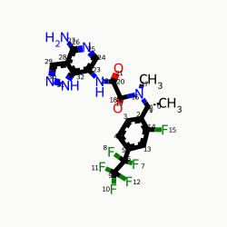 C[C@H](c1ccc(C(F)(F)C(F)(F)F)cc1F)N(C)C(=O)C(=O)Nc1cnc(N)c2cn[nH]c12